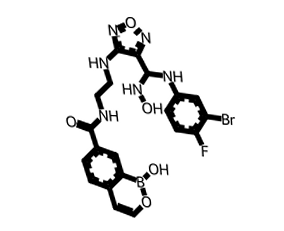 O=C(NCCNc1nonc1C(NO)Nc1ccc(F)c(Br)c1)c1ccc2c(c1)B(O)OC=C2